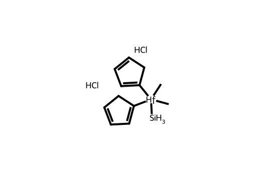 Cl.Cl.[CH3][Hf]([CH3])([SiH3])([C]1=CC=CC1)[C]1=CC=CC1